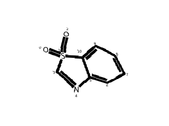 O=S1(=O)C=Nc2cc[c]cc21